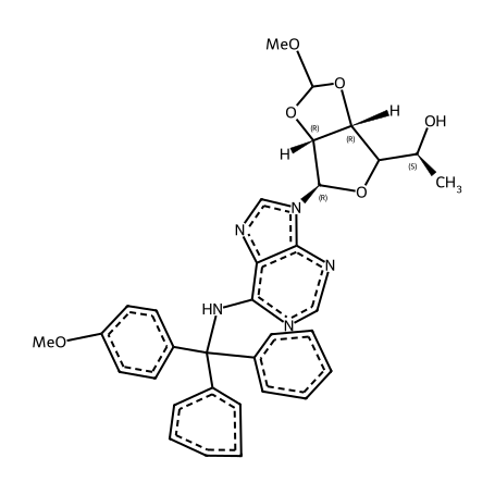 COc1ccc(C(Nc2ncnc3c2ncn3[C@@H]2OC([C@H](C)O)[C@H]3OC(OC)O[C@H]32)(c2ccccc2)c2ccccc2)cc1